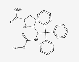 COC(=O)[C@@H]1CSC(C(NC(=O)OC(C)(C)C)C(c2ccccc2)(c2ccccc2)c2ccccc2)N1